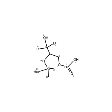 CCC(O)(CC)C(CO[PH](=O)O)O[Si](C)(C)C(C)(C)C